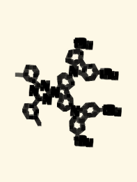 Cc1cccc(-c2nc(-c3cccc(C)c3)nc(-n3c4ccc(-n5c6ccc(C(C)(C)C)cc6c6cc(C(C)(C)C)ccc65)cc4c4cc(-n5c6ccc(C(C)(C)C)cc6c6cc(C(C)(C)C)ccc65)ccc43)n2)c1